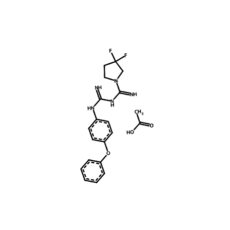 CC(=O)O.N=C(NC(=N)N1CCC(F)(F)C1)Nc1ccc(Oc2ccccc2)cc1